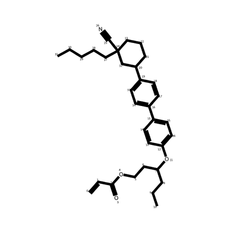 C=CC(=O)OCCC(CCC)Oc1ccc(-c2ccc(C3CCCC(C#N)(CCCCC)C3)cc2)cc1